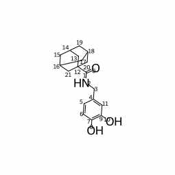 O=C(NCc1ccc(O)c(O)c1)C12CC3CC(CC(C3)C1)C2